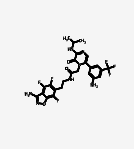 CC(C)Nc1ncc(-c2cc(N)cc(C(F)(F)F)c2)n(CC(=O)NCCc2c(F)c(F)c3c(N)noc3c2F)c1=O